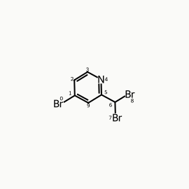 Brc1ccnc(C(Br)Br)c1